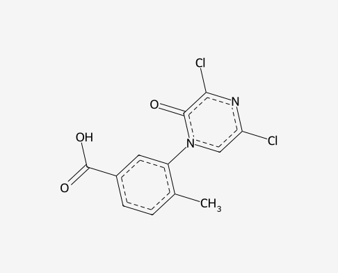 Cc1ccc(C(=O)O)cc1-n1cc(Cl)nc(Cl)c1=O